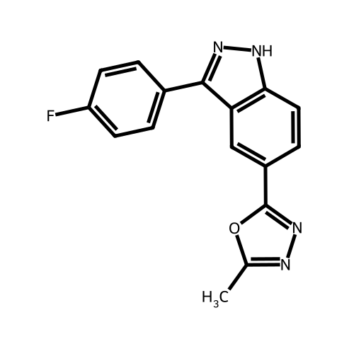 Cc1nnc(-c2ccc3[nH]nc(-c4ccc(F)cc4)c3c2)o1